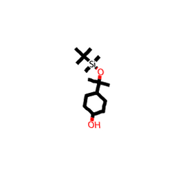 CC(C)(O[Si](C)(C)C(C)(C)C)C1CCC(O)CC1